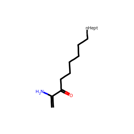 C=C(N)C(=O)CCCCCCCCCCCCC